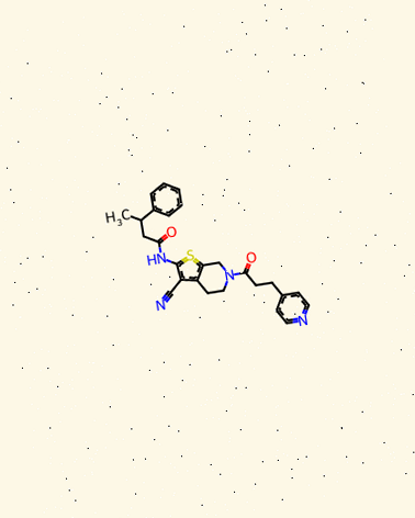 CC(CC(=O)Nc1sc2c(c1C#N)CCN(C(=O)CCc1ccncc1)C2)c1ccccc1